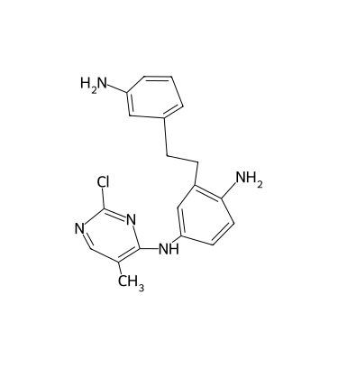 Cc1cnc(Cl)nc1Nc1ccc(N)c(CCc2cccc(N)c2)c1